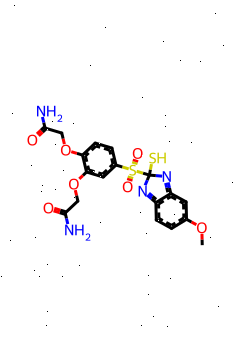 COc1ccc2c(c1)=NC(S)(S(=O)(=O)c1ccc(OCC(N)=O)c(OCC(N)=O)c1)N=2